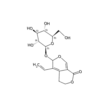 C=CC1=C2CCOC(=O)C2=COC1O[C@@H]1O[C@H](CO)[C@@H](O)[C@H](O)[C@H]1O